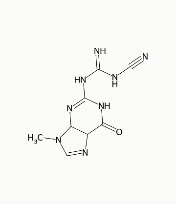 CN1C=NC2C(=O)NC(NC(=N)NC#N)=NC21